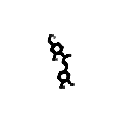 COc1ccc(C(=O)C=Cc2ccc(O)c(O)c2)c(O)c1